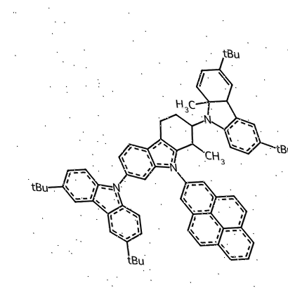 CC1c2c(c3ccc(-n4c5ccc(C(C)(C)C)cc5c5cc(C(C)(C)C)ccc54)cc3n2-c2cc3ccc4cccc5ccc(c2)c3c45)CCC1N1c2ccc(C(C)(C)C)cc2C2C=C(C(C)(C)C)C=CC21C